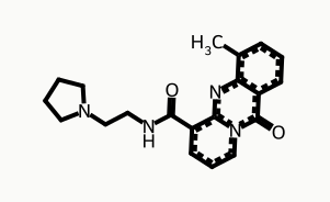 Cc1cccc2c(=O)n3cccc(C(=O)NCCN4CCCC4)c3nc12